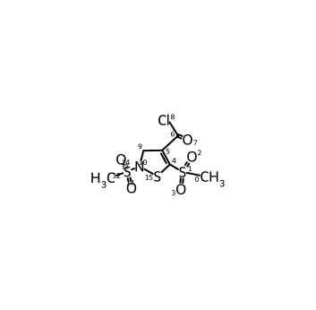 CS(=O)(=O)C1=C(C(=O)Cl)CN(S(C)(=O)=O)S1